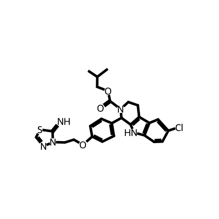 CC(C)COC(=O)N1CCc2c([nH]c3ccc(Cl)cc23)C1c1ccc(OCCn2ncsc2=N)cc1